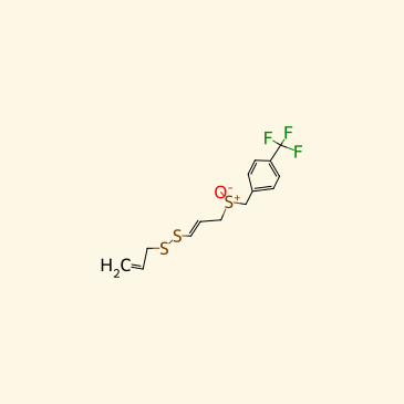 C=CCSSC=CC[S+]([O-])Cc1ccc(C(F)(F)F)cc1